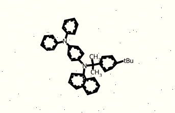 CC(C)(C)c1ccc(C(C)(C)N(c2ccc(N(c3ccccc3)c3ccccc3)cc2)c2cccc3ccccc23)cc1